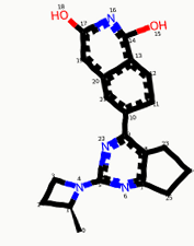 C[C@H]1CCN1c1nc2c(c(-c3ccc4c(O)nc(O)cc4c3)n1)CCC2